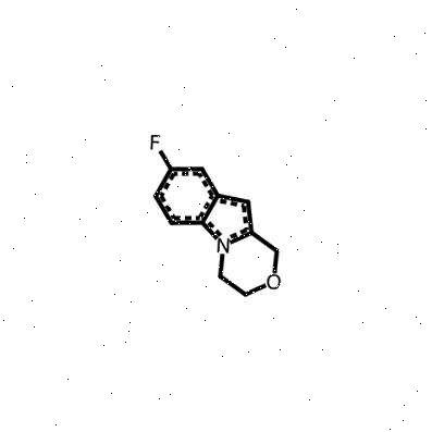 Fc1ccc2c(c1)cc1n2CCOC1